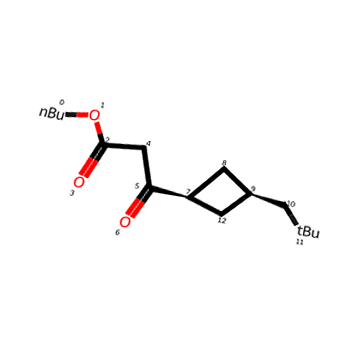 CCCCOC(=O)CC(=O)[C@H]1C[C@@H](CC(C)(C)C)C1